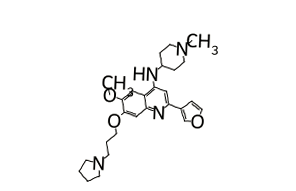 COc1cc2c(NC3CCN(C)CC3)cc(-c3ccoc3)nc2cc1OCCCN1CCCC1